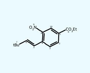 CCOC(=O)c1ccc(C=CC(C)(C)C)c([N+](=O)[O-])c1